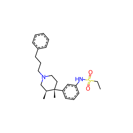 CCS(=O)(=O)Nc1cccc([C@@]2(C)CCN(CCCc3ccccc3)C[C@@H]2C)c1